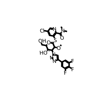 COC1C(n2cc(-c3cc(F)c(F)c(F)c3)nn2)[C@@H](O)C(CO)O[C@@H]1Sc1cc(Cl)cnc1C(=O)N(C)C